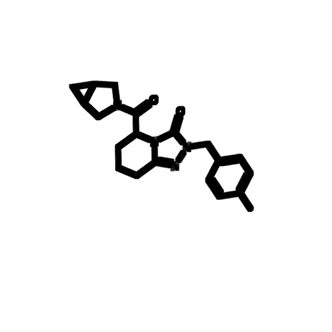 Cc1ccc(Cn2nc3n(c2=O)C(C(=O)N2CC4CC4C2)CCC3)cc1